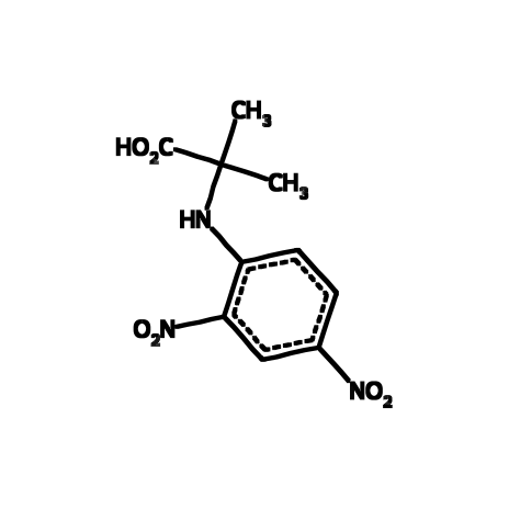 CC(C)(Nc1ccc([N+](=O)[O-])cc1[N+](=O)[O-])C(=O)O